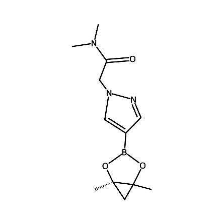 CN(C)C(=O)Cn1cc(B2OC3(C)C[C@@]3(C)O2)cn1